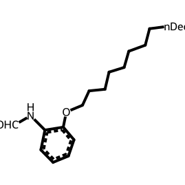 CCCCCCCCCCCCCCCCCCOc1ccccc1NC=O